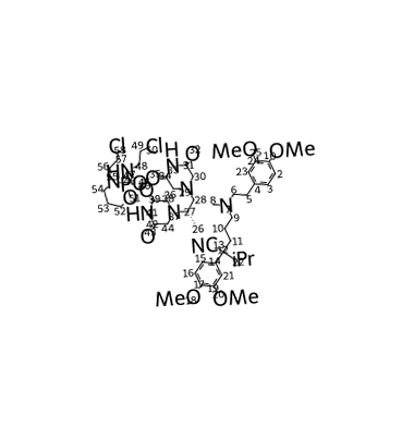 COc1ccc(CCN(C)CCCC(C#N)(c2ccc(OC)c(OC)c2)C(C)C)cc1OC.C[C@@H](CN1CC(=O)NC(=O)C1)N1CC(=O)NC(=O)C1.O=P1(NCCCl)OCCCN1CCCl